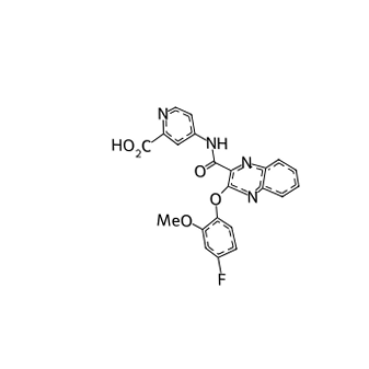 COc1cc(F)ccc1Oc1nc2ccccc2nc1C(=O)Nc1ccnc(C(=O)O)c1